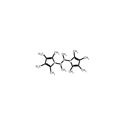 Cc1c(C)c(C)p(N(C)N(C)p2c(C)c(C)c(C)c2C)c1C